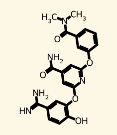 CN(C)C(=O)c1cccc(Oc2cc(C(N)=O)cc(Oc3cc(C(=N)N)ccc3O)n2)c1